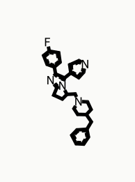 Fc1ccc(-c2nc3n(c2-c2ccncc2)C(CN2CCC(Cc4ccccc4)CC2)CC3)cc1